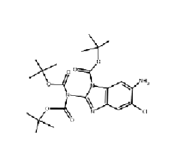 CC(C)(C)OC(=O)N(C(=O)OC(C)(C)C)c1nc2cc(Cl)c(N)cc2n1C(=O)OC(C)(C)C